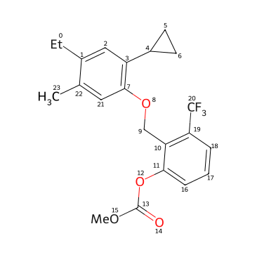 CCc1cc(C2CC2)c(OCc2c(OC(=O)OC)cccc2C(F)(F)F)cc1C